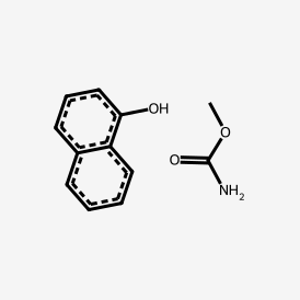 COC(N)=O.Oc1cccc2ccccc12